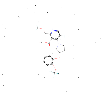 O=C(O)c1c(COC(F)F)ncc(F)c1N1CC[C@H](Oc2ccccc2OC(F)(F)F)C1